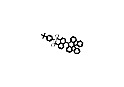 CC(C)(C)c1ccc(N2C(=O)c3cccc4c(C5c6ccccc6C(c6ccccc6)(c6ccccc6)c6ccccc65)ccc(c34)C2=O)cc1